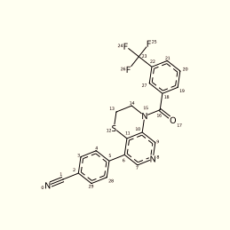 N#Cc1ccc(-c2cncc3c2SCCN3C(=O)c2cccc(C(F)(F)F)c2)cc1